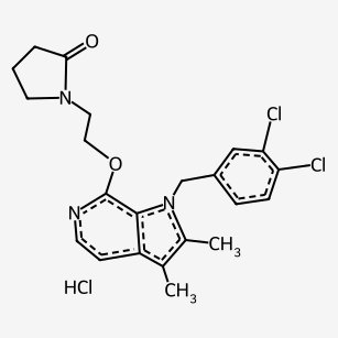 Cc1c(C)n(Cc2ccc(Cl)c(Cl)c2)c2c(OCCN3CCCC3=O)nccc12.Cl